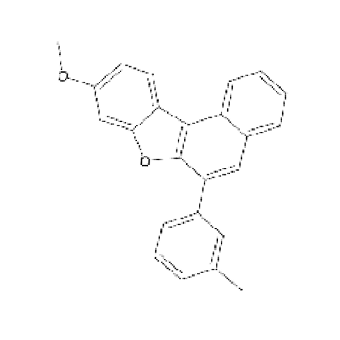 COc1ccc2c(c1)oc1c(-c3cccc(C)c3)cc3ccccc3c12